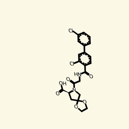 O=C(NCC(=O)N1CC2(C[C@H]1C(=O)O)OCCO2)c1ccc(-c2cccc(Cl)c2)cc1Cl